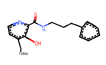 COc1ccnc(C(=O)NCCCc2ccccc2)c1O